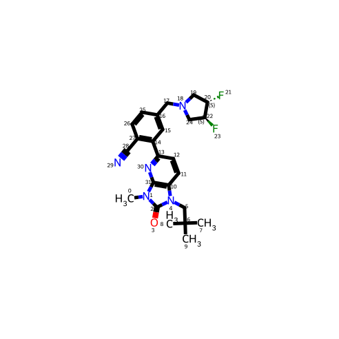 Cn1c(=O)n(CC(C)(C)C)c2ccc(-c3cc(CN4C[C@H](F)[C@@H](F)C4)ccc3C#N)nc21